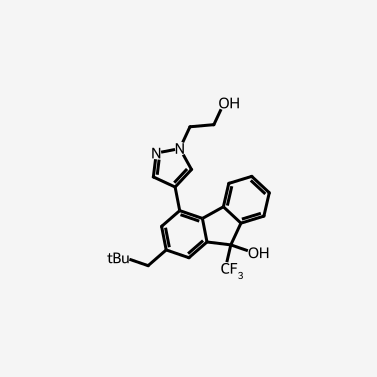 CC(C)(C)Cc1cc(-c2cnn(CCO)c2)c2c(c1)C(O)(C(F)(F)F)c1ccccc1-2